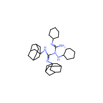 NC(=NC1CCCCC1)N(NC1CCCCC1)C(=NC12CC3CC(CC(C3)C1)C2)NC12CC3CC(CC(C3)C1)C2